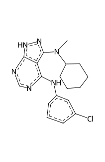 CN(c1n[nH]c2ncnc(Nc3cccc(Cl)c3)c12)C1CCCCC1